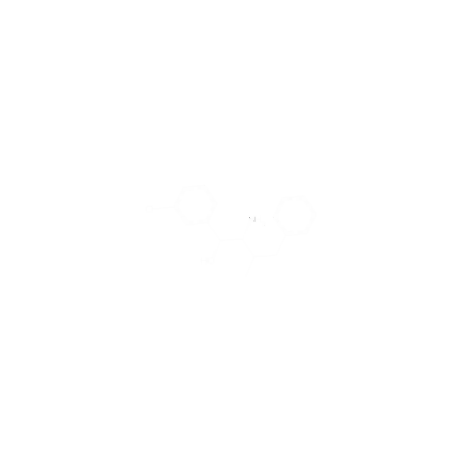 CC(Cc1ccccc1)[C@@H](N)[C@H](O)c1cccc(Cl)c1